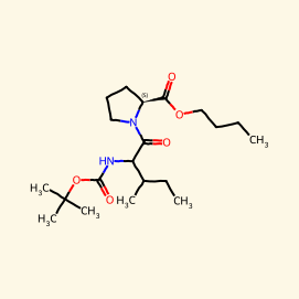 CCCCOC(=O)[C@@H]1CCCN1C(=O)C(NC(=O)OC(C)(C)C)C(C)CC